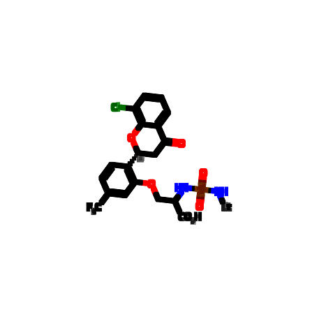 CCNS(=O)(=O)NC(COc1cc(C(F)(F)F)ccc1[C@H]1CC(=O)c2cccc(Cl)c2O1)C(=O)O